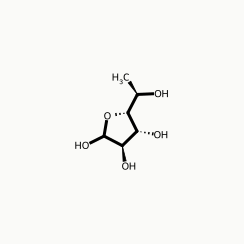 C[C@@H](O)[C@H]1OC(O)[C@H](O)[C@H]1O